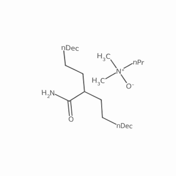 CCCCCCCCCCCCC(CCCCCCCCCCCC)C(N)=O.CCC[N+](C)(C)[O-]